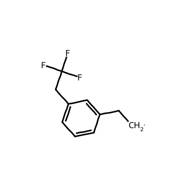 [CH2]Cc1cccc(CC(F)(F)F)c1